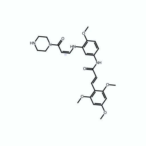 COc1cc(OC)c(C=CC(=O)Nc2ccc(OC)c(N/C=C\C(=O)N3CCNCC3)c2)c(OC)c1